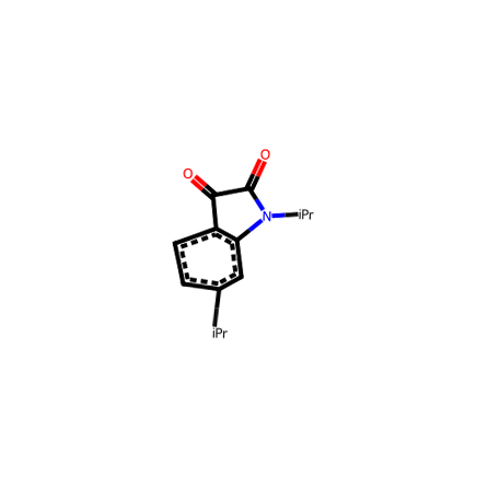 CC(C)c1ccc2c(c1)N(C(C)C)C(=O)C2=O